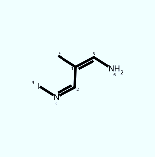 CC(/C=N\I)=C/N